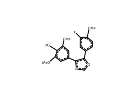 COc1ccc(-c2ocnc2-c2cc(OC)c(O)c(OC)c2)cc1F